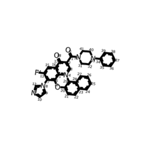 O=C(c1cn2c3c(c(-n4ccnc4)c(F)cc3c1=O)Oc1ccc3ccccc3c1-2)N1CCN(c2ccccc2)CC1